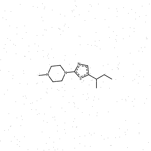 CCC(C)c1cnc(N2CCN(C)CC2)s1